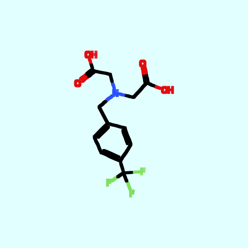 O=C(O)CN(CC(=O)O)Cc1ccc(C(F)(F)F)cc1